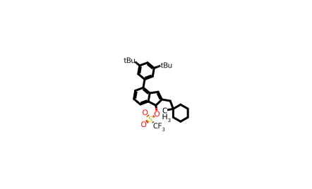 CC1(CC2=Cc3c(-c4cc(C(C)(C)C)cc(C(C)(C)C)c4)cccc3C2OS(=O)(=O)C(F)(F)F)CCCCC1